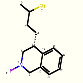 CC(S)CC[C@H]1CN(I)Cc2ccccc21